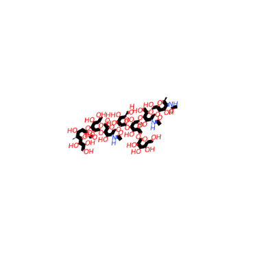 CC(=O)NC1[C@H](O[C@@H]2C(CO)O[C@@H](C)C(NC(C)=O)[C@H]2O)OC(CO)[C@@H](O[C@@H]2OC(CO[C@H]3OC(CO)[C@@H](O)[C@H](O)C3O)[C@@H](O)[C@H](O[C@H]3O[C@H](CO)[C@@H](O)C(O)C3O[C@@H]3OC(CO)[C@@H](O[C@@H]4OC(CO)[C@H](O)[C@H](O[C@]5(OC=O)C[C@@H](O)[C@@H](C)C([C@H](O)[C@H](O)CO)O5)C4O)[C@H](O)C3NC(C)=O)C2O)[C@@H]1O